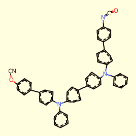 N#COc1ccc(-c2ccc(N(c3ccccc3)c3ccc(-c4ccc(N(c5ccccc5)c5ccc(-c6ccc(N=C=O)cc6)cc5)cc4)cc3)cc2)cc1